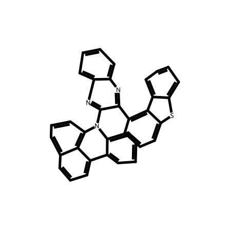 c1ccc2c(c1)-c1cccc3cccc(c13)N2c1nc2ccccc2nc1-c1cccc2sc3ccccc3c12